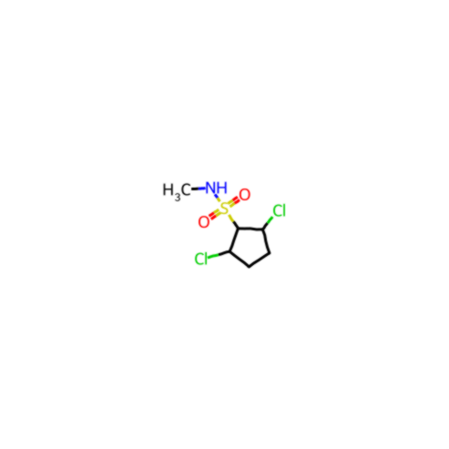 CNS(=O)(=O)C1C(Cl)CCC1Cl